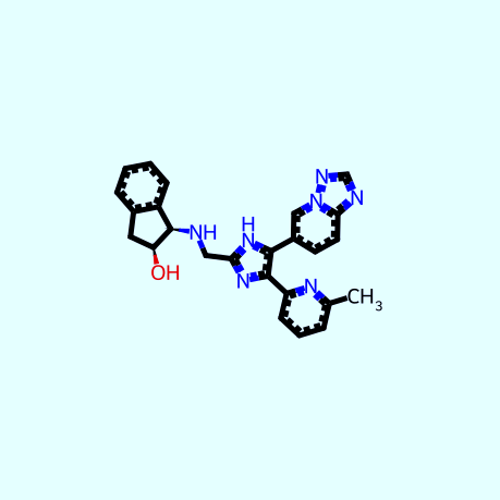 Cc1cccc(-c2nc(CN[C@@H]3c4ccccc4C[C@@H]3O)[nH]c2-c2ccc3ncnn3c2)n1